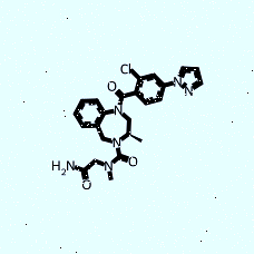 C[C@@H]1CN(C(=O)c2ccc(-n3cccn3)cc2Cl)c2ccccc2CN1C(=O)N(C)CC(N)=O